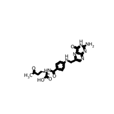 CC(=O)CC[C@@H](NC(=O)c1ccc(NCc2cnc3nc(N)[nH]c(=O)c3n2)cc1)C(=O)O